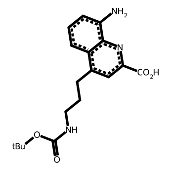 CC(C)(C)OC(=O)NCCCc1cc(C(=O)O)nc2c(N)cccc12